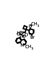 COc1ccc(Br)cc1C1(C(=O)NS(=O)(=O)c2cccc3nc(C)ccc23)CCC1